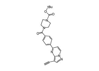 C#Cc1cnn2ccc(-c3ccc(C(=O)N4CCN(C(=O)OC(C)(C)C)CC4)cc3)nc12